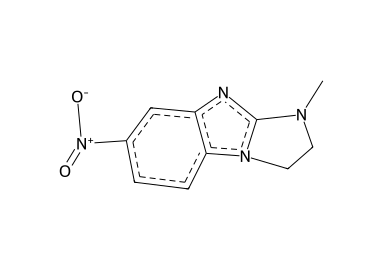 CN1CCn2c1nc1cc([N+](=O)[O-])ccc12